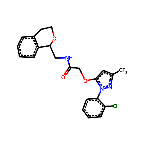 O=C(COc1cc(C(F)(F)F)nn1-c1ccccc1Cl)NCC1OCCc2ccccc21